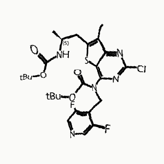 Cc1c(C[C@H](C)NC(=O)OC(C)(C)C)sc2c(N(Cc3c(F)cncc3F)C(=O)OC(C)(C)C)nc(Cl)nc12